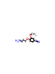 COc1cc(C#N)ccc1OCCCN